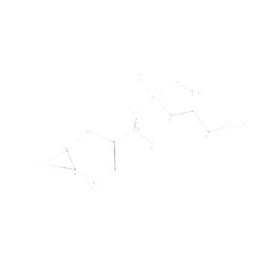 CCO[Si](C)(CCCO)OC(C)C1CCC2OC2C1